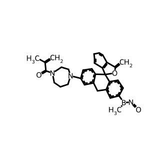 C=C(C)C(=O)N1CCCN(c2ccc3c(c2)Cc2cc(B(C)N=O)ccc2C32OC(=C)C3=C2C=CCC=C3)CC1